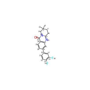 CC1(C)CCc2nc3cc(-c4ccc(F)c(F)c4)ccc3c(=O)n2C1